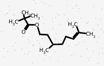 CC(C)=CCCC(C)CCOC(=O)C(C)(C)C